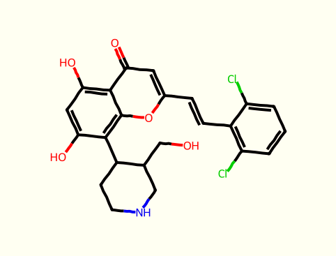 O=c1cc(C=Cc2c(Cl)cccc2Cl)oc2c(C3CCNCC3CO)c(O)cc(O)c12